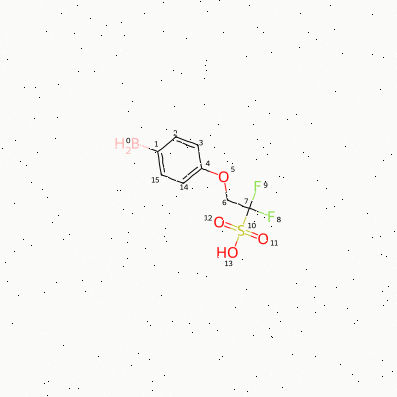 Bc1ccc(OCC(F)(F)S(=O)(=O)O)cc1